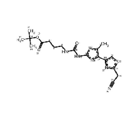 Cc1nc(NC(=O)NCCCC(=O)OC(C)(C)C)sc1-c1csc(CC#N)n1